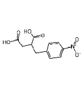 O=C(O)CC(Cc1ccc([N+](=O)[O-])cc1)C(=O)O